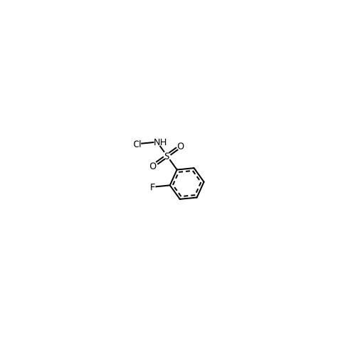 O=S(=O)(NCl)c1ccccc1F